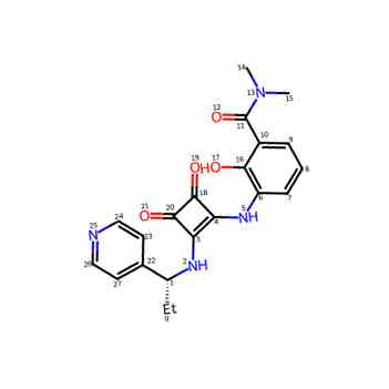 CC[C@@H](Nc1c(Nc2cccc(C(=O)N(C)C)c2O)c(=O)c1=O)c1ccncc1